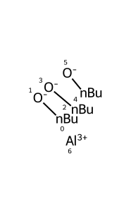 CCCC[O-].CCCC[O-].CCCC[O-].[Al+3]